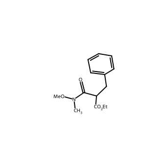 CCOC(=O)C(Cc1ccccc1)C(=O)N(C)OC